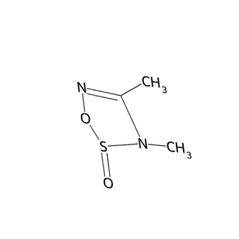 CC1=NOS(=O)N1C